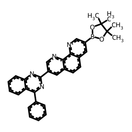 CC1(C)OB(c2cnc3c(ccc4cc(-c5nc(-c6ccccc6)c6ccccc6n5)cnc43)c2)OC1(C)C